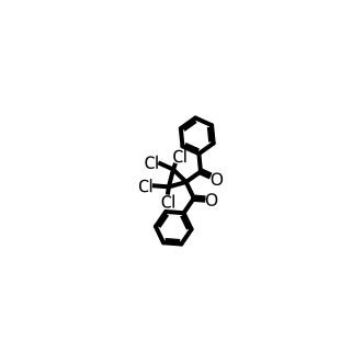 O=C(c1ccccc1)C1(C(=O)c2ccccc2)C(Cl)(Cl)C1(Cl)Cl